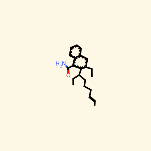 C/C=C/CCCC(CC)c1c(CC)cc2ccccc2c1C(N)=O